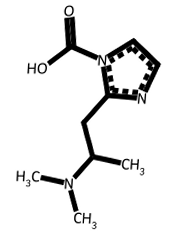 CC(Cc1nccn1C(=O)O)N(C)C